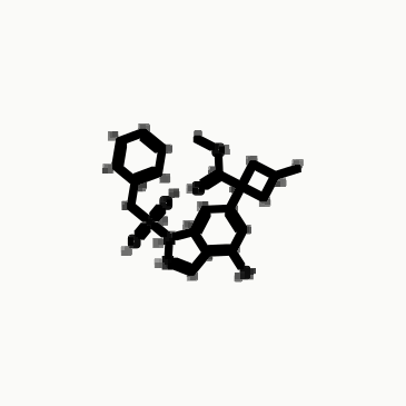 COC(=O)C1(c2cc(Br)c3cnn(S(=O)(=O)Cc4ccccc4)c3c2)CC(C)C1